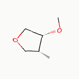 CO[C@H]1COC[C@H]1C